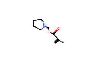 C=C(C)C(=O)OCN1CCCC1